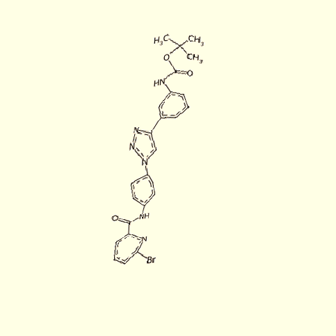 CC(C)(C)OC(=O)Nc1cccc(-c2cn(-c3ccc(NC(=O)c4cccc(Br)n4)cc3)nn2)c1